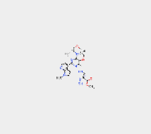 COC(=O)/C(=C/NCc1nc(-c2ccnc3c2ccn3C)nc2c1OC[C@@H]1COC[C@@H](C)N21)N=N